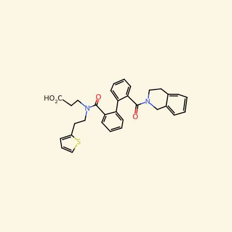 O=C(O)CCN(CCc1cccs1)C(=O)c1ccccc1-c1ccccc1C(=O)N1CCc2ccccc2C1